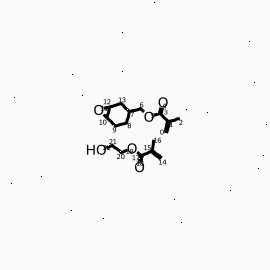 C=C(C)C(=O)OCC1CCC2OC2C1.C=C(C)C(=O)OCCO